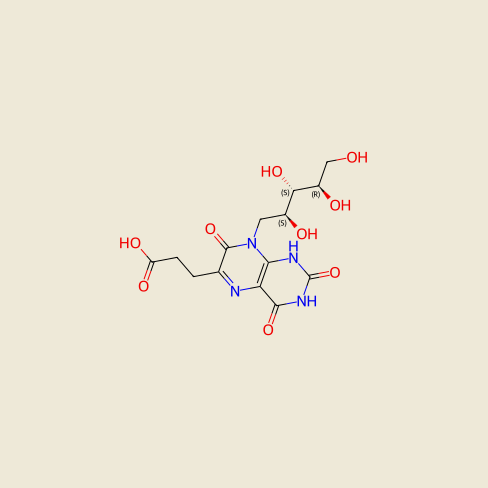 O=C(O)CCc1nc2c(=O)[nH]c(=O)[nH]c2n(C[C@H](O)[C@H](O)[C@H](O)CO)c1=O